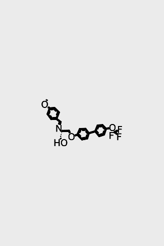 COc1ccc(C=N[C@@H](CO)COc2ccc(-c3ccc(OC(F)(F)F)cc3)cc2)cc1